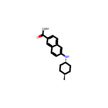 COC(=O)c1ccc2cc(N[C@H]3CC[C@H](C)CC3)ccc2c1